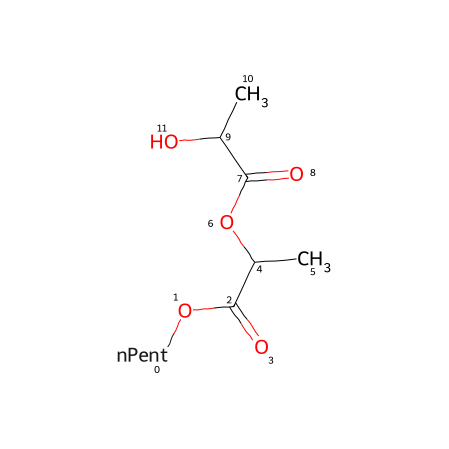 CCCCCOC(=O)C(C)OC(=O)C(C)O